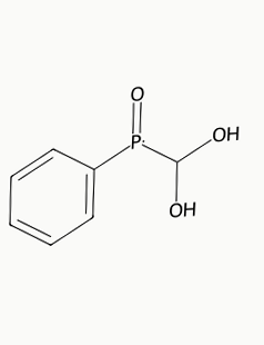 O=[P](c1ccccc1)C(O)O